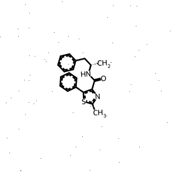 [CH2][C@@H](Cc1ccccc1)NC(=O)c1nc(C)sc1-c1ccccc1